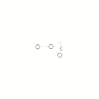 CSc1cccc(C2CC(c3ccc(OCc4c(-c5c(Cl)cccc5Cl)noc4C4CC4)cc3Cl)C2)c1